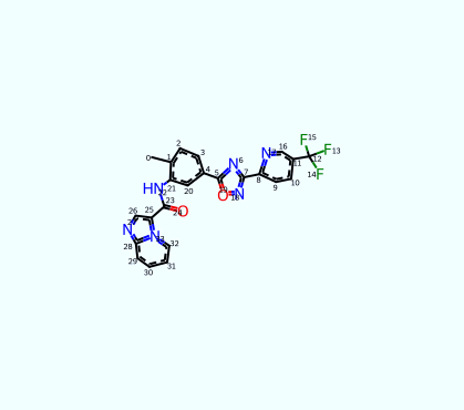 Cc1ccc(-c2nc(-c3ccc(C(F)(F)F)cn3)no2)cc1NC(=O)c1cnc2ccccn12